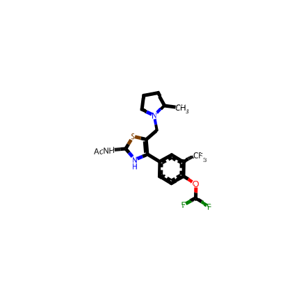 CC(=O)NC1NC(c2ccc(OC(F)F)c(C(F)(F)F)c2)=C(CN2CCCC2C)S1